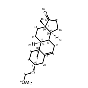 COCO[C@H]1CC[C@@]2(C)C(=CCC3[C@@H]2CC[C@]2(C)C(=O)CC[C@@H]32)C1